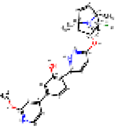 COc1cc(-c2ccc(-c3ccc(O[C@@H]4C[C@@]5(C)C=C[C@@](C)([C@@H]4F)N5C)nn3)c(O)c2)ccn1